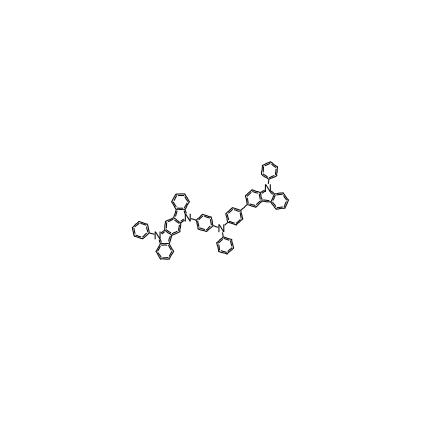 c1ccc(N(c2ccc(-c3ccc4c(c3)c3ccccc3n4-c3ccccc3)cc2)c2ccc(-n3c4ccccc4c4cc5c(cc43)c3ccccc3n5-c3ccccc3)cc2)cc1